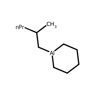 CCCC(C)[CH2][Al]1[CH2]CCC[CH2]1